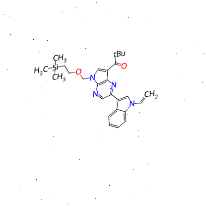 C=Cn1cc(-c2cnc3c(n2)c(C(=O)C(C)(C)C)cn3COCC[Si](C)(C)C)c2ccccc21